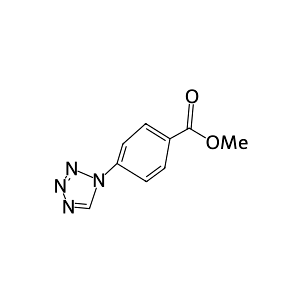 COC(=O)c1ccc(-n2cnnn2)cc1